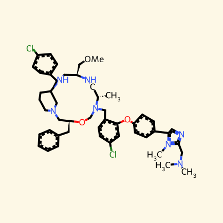 COC[C@@H]1CN[C@@]2(Cc3ccc(Cl)cc3)CCCN(C[C@H](Cc3ccccc3)OCN(Cc3ccc(Cl)cc3Oc3ccc(-c4cnc(CN(C)C)n4C)cc3)[C@@H](C)CN1)C2